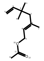 C=CC(C)(C)CC(C)=CCOC(C)=O